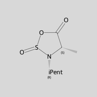 CCC[C@@H](C)N1[C@@H](C)C(=O)OS1=O